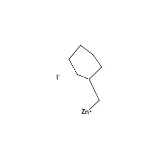 [I-].[Zn+][CH2]C1CCCCC1